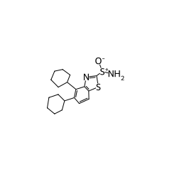 N[S+]([O-])c1nc2c(C3CCCCC3)c(C3CCCCC3)ccc2s1